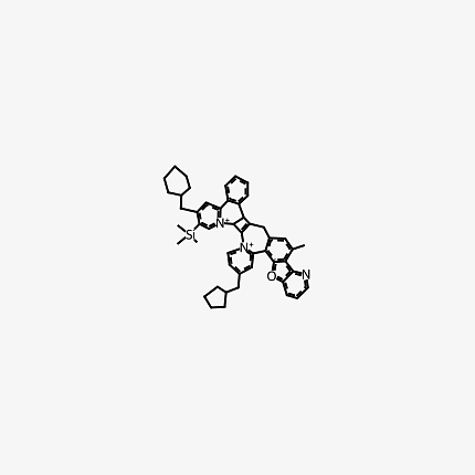 Cc1cc2c(c3oc4cccnc4c13)-c1cc(CC3CCCC3)cc[n+]1C1=C(C2)C2c3ccccc3-c3cc(CC4CCCCC4)c([Si](C)(C)C)c[n+]3C12